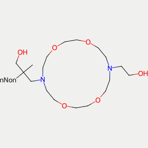 CCCCCCCCCC(C)(CO)CN1CCOCCOCCN(CCO)CCOCCOCC1